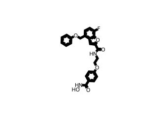 O=C(NO)c1ccc(OCCNC(=O)c2cc3c(COc4ccccc4)ccc(F)c3o2)cc1